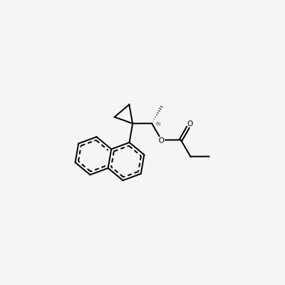 CCC(=O)O[C@@H](C)C1(c2cccc3ccccc23)CC1